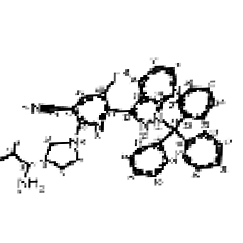 CC(C)C(N)[C@H]1CCN(c2nc(-c3nn(C(c4ccccc4)(c4ccccc4)c4ccccc4)c4ncccc34)c(F)cc2C#N)C1